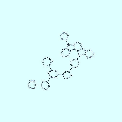 c1ccc(-c2cccc(-c3cc(-c4cccc(-c5ccc(-n6c7ccccc7c7ccc8c(c9ccccc9n8-c8ccccc8)c76)cc5)c4)cc(-c4ccccc4)n3)c2)cc1